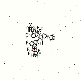 C[C@@H]1CN(c2ccc3c(=O)n(-c4ccc(Cl)c5c(NS(=O)(=O)C6CC6)nn(CC(F)F)c45)c([C@H](Cc4cc(F)cc(F)c4)NC(=O)Cn4nc(C(F)F)c5c4C(F)(F)[C@@H]4C[C@H]54)nc3c2)C[C@H](C)O1